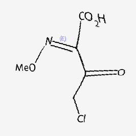 CO/N=C(/C(=O)O)C(=O)CCl